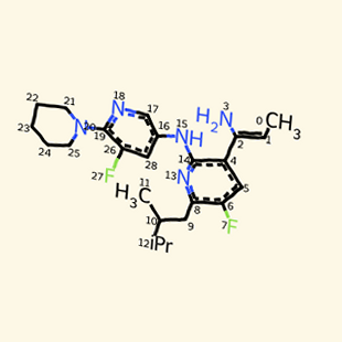 C/C=C(\N)c1cc(F)c(CC(C)C(C)C)nc1Nc1cnc(N2CCCCC2)c(F)c1